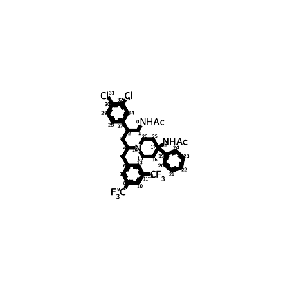 CC(=O)NCC(CC(Cc1cc(C(F)(F)F)cc(C(F)(F)F)c1)N1CCC(NC(C)=O)(c2ccccc2)CC1)c1ccc(Cl)c(Cl)c1